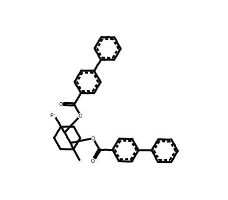 CC(C)C12CCC(C)(CC1)C(OC(=O)c1ccc(-c3ccccc3)cc1)C2OC(=O)c1ccc(-c2ccccc2)cc1